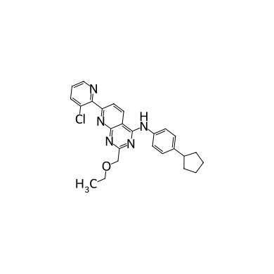 CCOCc1nc(Nc2ccc(C3CCCC3)cc2)c2ccc(-c3ncccc3Cl)nc2n1